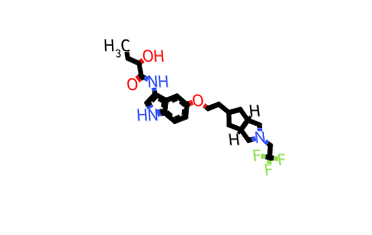 CCC(O)C(=O)Nc1c[nH]c2ccc(OCCC3C[C@@H]4CN(CC(F)(F)F)C[C@@H]4C3)cc12